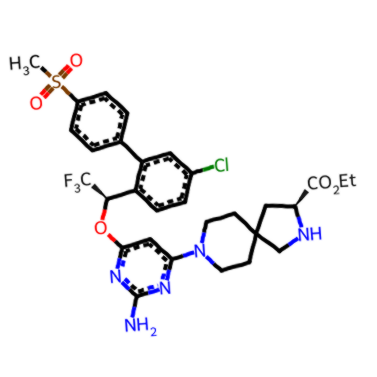 CCOC(=O)[C@@H]1CC2(CCN(c3cc(O[C@H](c4ccc(Cl)cc4-c4ccc(S(C)(=O)=O)cc4)C(F)(F)F)nc(N)n3)CC2)CN1